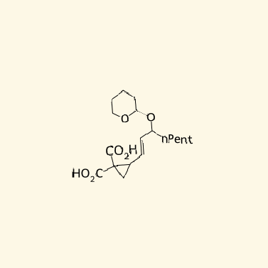 CCCCCC(C=CC1CC1(C(=O)O)C(=O)O)OC1CCCCO1